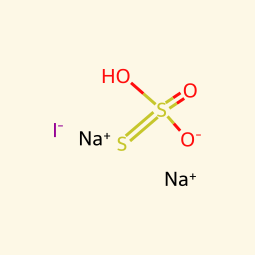 O=S([O-])(O)=S.[I-].[Na+].[Na+]